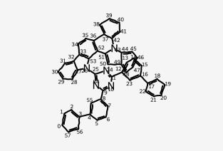 c1ccc(-c2cccc(-c3nc(-c4cccc(-c5ccccc5)c4)nc(-n4c5ccccc5c5ccc6c7ccccc7n7c8ccccc8cc7c6c54)n3)c2)cc1